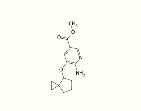 COC(=O)c1cnc(N)c(OC2CCCC23CC3)c1